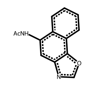 CC(=O)Nc1cc2ncoc2c2ccccc12